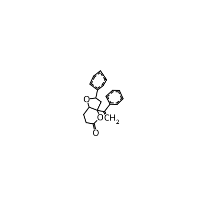 C=C(c1ccccc1)C12CC(c3ccccc3)OC1CCC(=O)O2